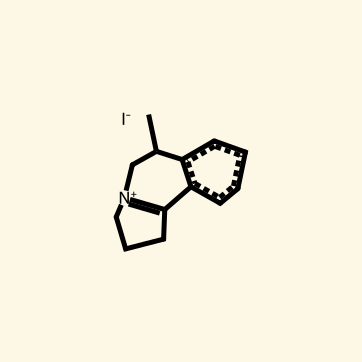 CC1C[N+]2=C(CCC2)c2ccccc21.[I-]